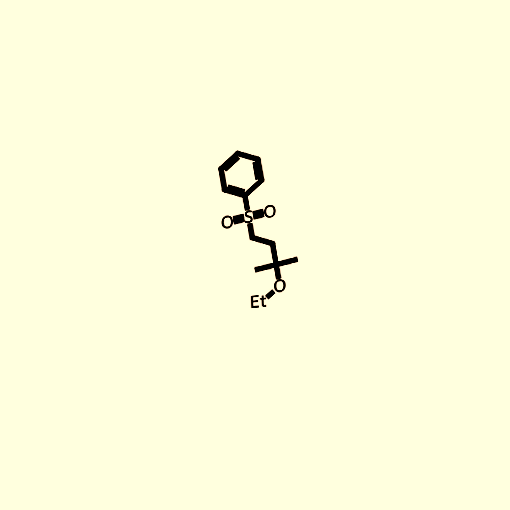 CCOC(C)(C)CCS(=O)(=O)c1ccccc1